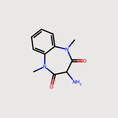 CN1C(=O)C(N)C(=O)N(C)c2ccccc21